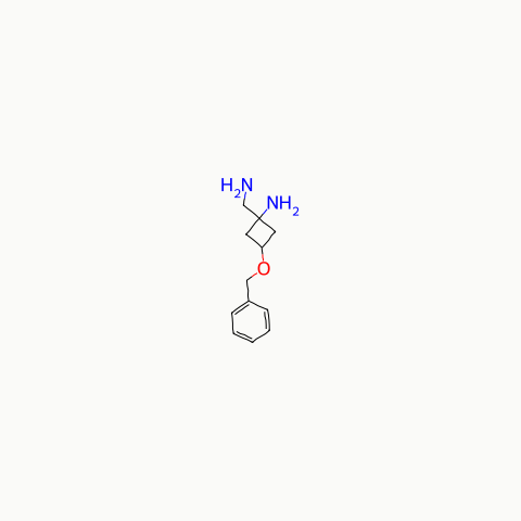 NCC1(N)CC(OCc2ccccc2)C1